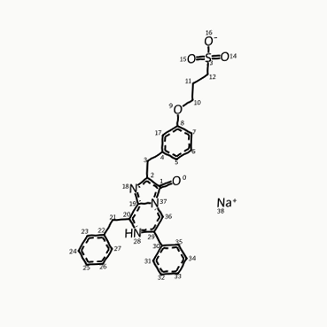 O=c1c(Cc2cccc(OCCCS(=O)(=O)[O-])c2)nc2c(Cc3ccccc3)[nH]c(-c3ccccc3)cn1-2.[Na+]